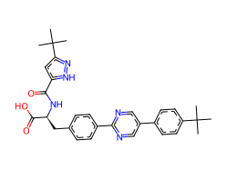 CC(C)(C)c1ccc(-c2cnc(-c3ccc(C[C@H](NC(=O)c4cc(C(C)(C)C)n[nH]4)C(=O)O)cc3)nc2)cc1